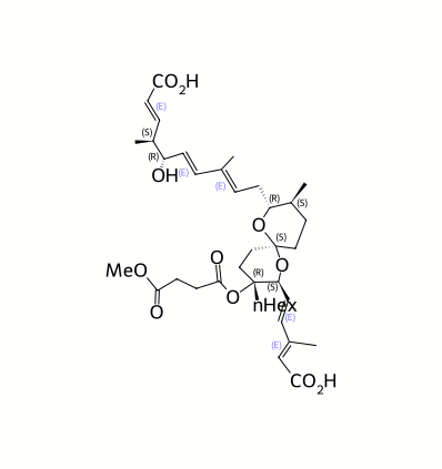 CCCCCC[C@@]1(OC(=O)CCC(=O)OC)CC[C@]2(CC[C@H](C)[C@@H](C/C=C(C)/C=C/[C@H](O)[C@@H](C)/C=C/C(=O)O)O2)O[C@H]1/C=C/C(C)=C/C(=O)O